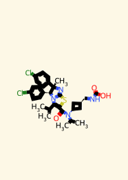 CC(C)C1=C(C(=O)N(C(C)C)[C@H]2C[C@@H](CNC(=O)O)C2)SC2=N[C@@](C)(c3ccc(Cl)cc3)[C@@H](c3ccc(Cl)cc3)N21